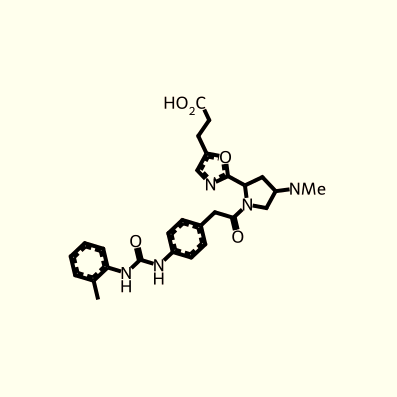 CNC1CC(c2ncc(CCC(=O)O)o2)N(C(=O)Cc2ccc(NC(=O)Nc3ccccc3C)cc2)C1